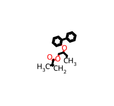 C=C(C)C(=O)OCC(CC)Oc1ccccc1-c1ccccc1